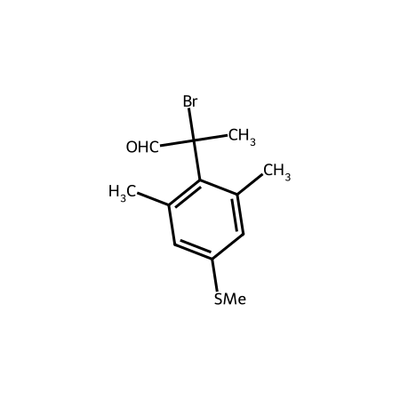 CSc1cc(C)c(C(C)(Br)C=O)c(C)c1